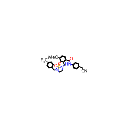 COc1ccc(C(=O)Nc2ccc(CC#N)cc2)c(CN2CCN(Cc3ccc(C(F)(F)F)cc3)S2(=O)=O)c1